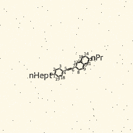 CCCCCCCc1ccc(C#Cc2ccc3cc(CCC)ccc3c2)cc1